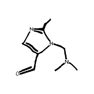 Cc1ncc(C=O)n1CN(C)C